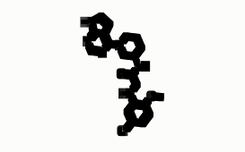 COc1ccc(Cl)cc1NCC(=O)N[C@@H]1CCCN(c2ncnc3[nH]ccc23)C1